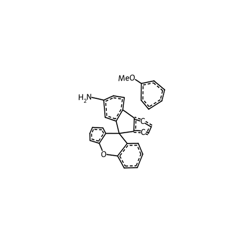 COc1ccccc1.Nc1ccc2c(c1)C1(c3ccccc3Oc3ccccc31)c1ccccc1-2